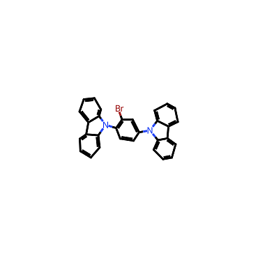 Brc1cc(-n2c3ccccc3c3ccccc32)ccc1-n1c2ccccc2c2ccccc21